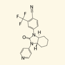 N#Cc1ccc(N2C(=O)N(c3ccncc3)[C@H]3CCCC[C@@H]32)cc1C(F)(F)F